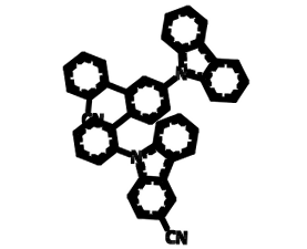 N#Cc1ccc2c(c1)c1ccccc1n2-c1ccccc1-c1ccc(-n2c3ccccc3c3ccccc32)cc1-c1ccccc1C#N